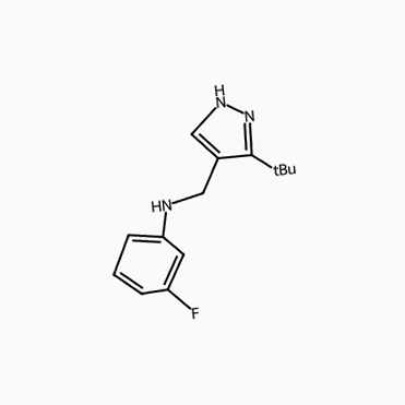 CC(C)(C)c1n[nH]cc1CNc1cccc(F)c1